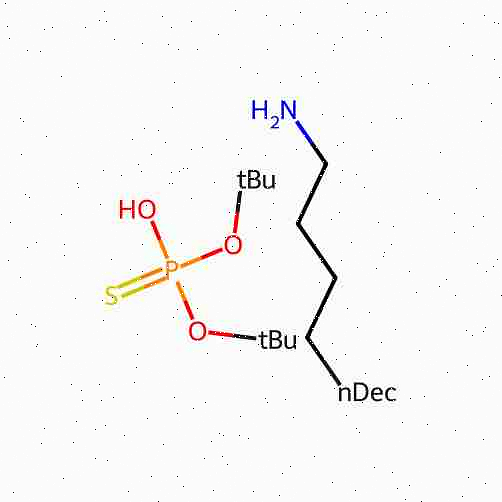 CC(C)(C)OP(O)(=S)OC(C)(C)C.CCCCCCCCCCCCCCN